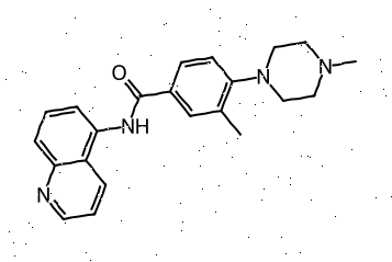 Cc1cc(C(=O)Nc2cccc3ncccc23)ccc1N1CCN(C)CC1